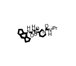 CC(C)NC(=O)N1CCCC(S(=O)(=O)NC(=O)Nc2c3c(cc4c2CCC4)CCC3)C1